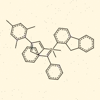 Cc1cc(C)c(C2=CC[C]([Zr]([CH3])([CH3])(=[C](c3ccccc3)c3ccccc3)[c]3cccc4c3Cc3ccccc3-4)=C2)c(C)c1